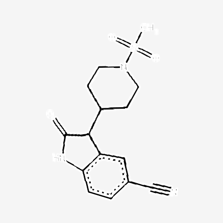 CS(=O)(=O)N1CCC(C2C(=O)Nc3ccc(C#N)cc32)CC1